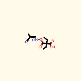 CCC(CC)(C(=O)O)C(=O)ONC=C(C)C#N